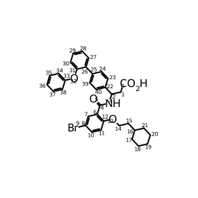 O=C(O)CC(NC(=O)c1cc(Br)ccc1OCCC1CCCCC1)c1ccc(-c2ccccc2Oc2ccccc2)cc1